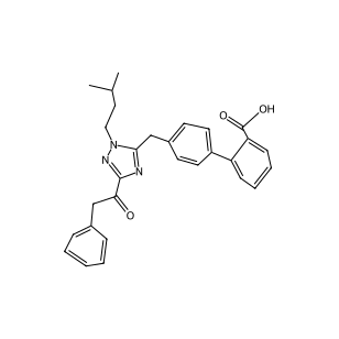 CC(C)CCn1nc(C(=O)Cc2ccccc2)nc1Cc1ccc(-c2ccccc2C(=O)O)cc1